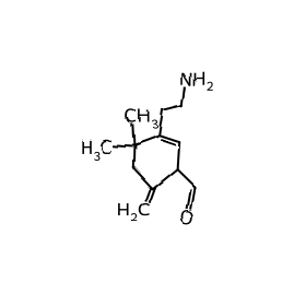 C=C1CC(C)(C)C(CCN)=CC1C=O